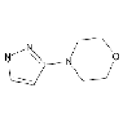 C1=CC(N2CCOCC2)=N[N]1